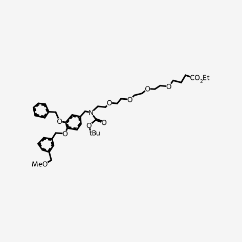 CCOC(=O)CCCOCCOCCOCCOCCN(Cc1ccc(OCc2cccc(COC)c2)c(OCc2ccccc2)c1)C(=O)OC(C)(C)C